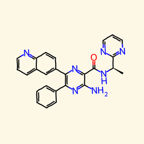 C[C@@H](NC(=O)c1nc(-c2ccc3ncccc3c2)c(-c2ccccc2)nc1N)c1ncccn1